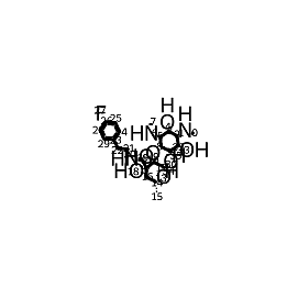 CN[C@@H]1[C@H](O)[C@H](NC)C2O[C@]3(O)[C@@H](O[C@H](C)C[C@@]3(O)CNCCc3ccc(F)cc3)O[C@@H]2[C@H]1O